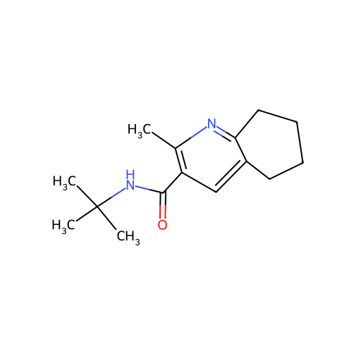 Cc1nc2c(cc1C(=O)NC(C)(C)C)CCCC2